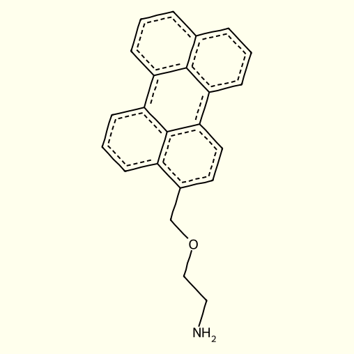 NCCOCc1ccc2c3cccc4cccc(c5cccc1c52)c43